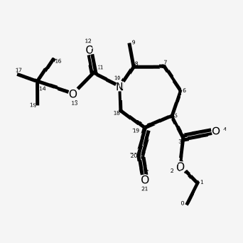 CCOC(=O)C1CCC(C)N(C(=O)OC(C)(C)C)CC1=C=O